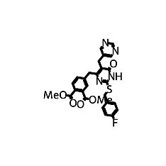 COC(=O)c1ccc(Cc2nc(SCc3ccc(F)cc3)[nH]c(=O)c2Cc2cncnc2)cc1C(=O)OC